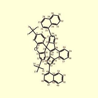 CC(C)(C)c1ccc2c(c1)Oc1cc(C(C)(C)C)ccc1C21c2cc(-c3cccc4ccccc34)ccc2-c2c1c1ccc(-c3cccc4ccccc34)cc1c1ccccc21